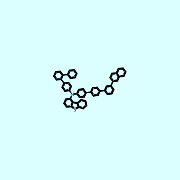 c1ccc(-c2ccccc2-c2ccc(N(c3ccc(-c4ccc(-c5cccc(-c6ccc7ccccc7c6)c5)cc4)cc3)c3cccc4sc5ccccc5c34)cc2)cc1